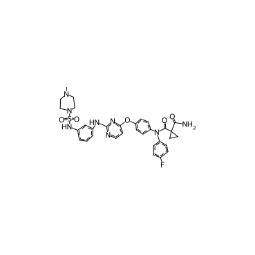 CN1CCN(S(=O)(=O)Nc2cccc(Nc3nccc(Oc4ccc(N(C(=O)C5(C(N)=O)CC5)c5ccc(F)cc5)cc4)n3)c2)CC1